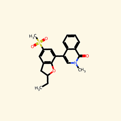 CCC1Cc2cc(S(C)(=O)=O)cc(-c3cn(C)c(=O)c4ccccc34)c2O1